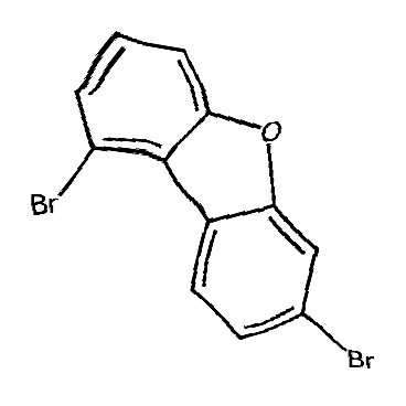 Brc1ccc2c(c1)oc1cccc(Br)c12